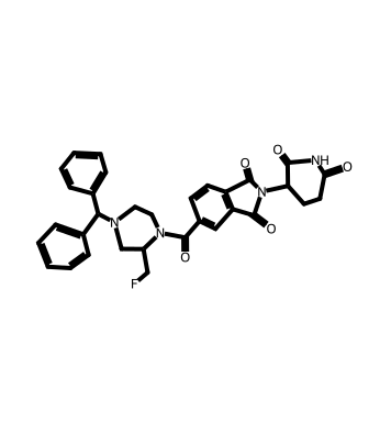 O=C1CCC(N2C(=O)c3ccc(C(=O)N4CCN(C(c5ccccc5)c5ccccc5)CC4CF)cc3C2=O)C(=O)N1